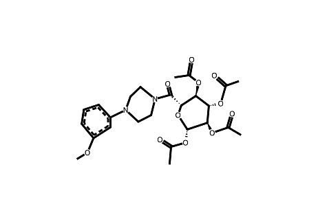 COc1cccc(N2CCN(C(=O)[C@H]3O[C@@H](OC(C)=O)[C@H](OC(C)=O)[C@@H](OC(C)=O)[C@@H]3OC(C)=O)CC2)c1